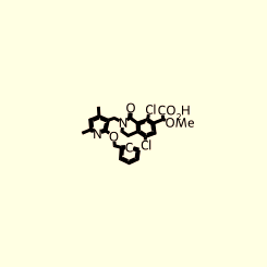 COC(C(=O)O)c1cc(Cl)c2c(c1Cl)C(=O)N(Cc1c(C)cc(C)nc1OCc1ccccc1)CC2